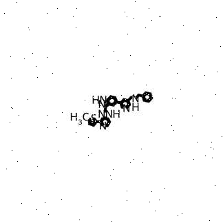 Cc1ccc(-c2nccc3[nH]c(-c4n[nH]c5ccc(-c6cncc(CNCc7ccccc7)c6)cc45)nc23)s1